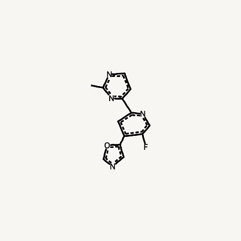 Cc1nccc(-c2cc(-c3cnco3)c(F)cn2)n1